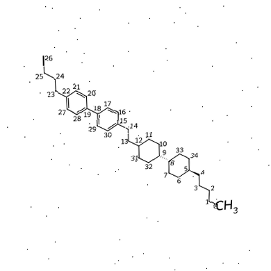 CCCCC[C@H]1CC[C@H](C2CCC(CCc3ccc(-c4ccc(CCCI)cc4)cc3)CC2)CC1